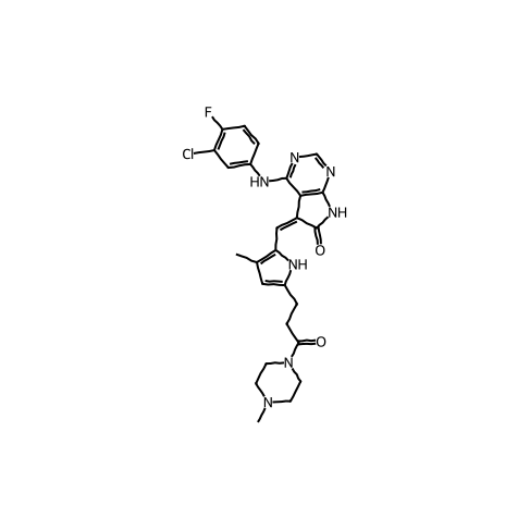 Cc1cc(CCC(=O)N2CCN(C)CC2)[nH]c1C=C1C(=O)Nc2ncnc(Nc3ccc(F)c(Cl)c3)c21